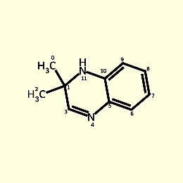 CC1(C)C=Nc2ccccc2N1